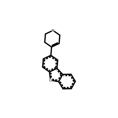 C1=C(c2ccc3oc4ccccc4c3c2)CC[N]C1